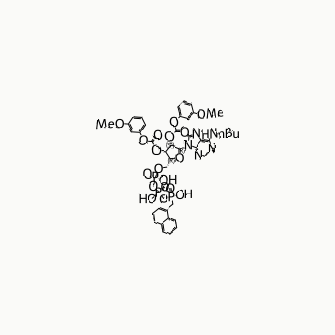 CCCCNc1ncnc2c1ncn2[C@@H]1O[C@H](COP(=O)(O)OP(=O)(O)OP(=O)(O)Cc2cccc3ccccc23)C(OC(=O)Oc2cccc(OC)c2)[C@@H]1OC(=O)Oc1cccc(OC)c1